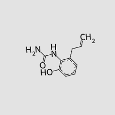 C=CCc1cccc(O)c1NC(N)=O